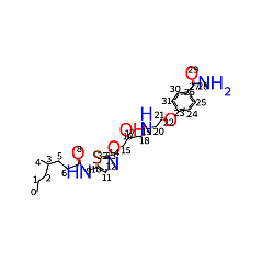 CCCC(C)CCC(=O)Nc1cnc(OCC(O)CNCCOc2ccc(C(N)=O)cc2)s1